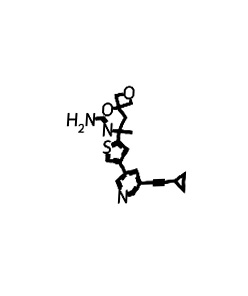 CC1(c2cc(-c3cncc(C#CC4CC4)c3)cs2)CC2(COC2)OC(N)=N1